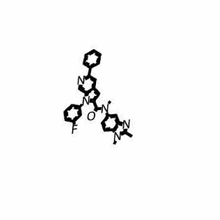 Cc1nc2cc(N(C)C(=O)c3cc4cc(-c5ccccc5)ncc4n3-c3cccc(F)c3)ccc2n1C